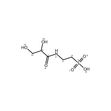 O=C(NCCS(=O)(=O)O)C(O)CO